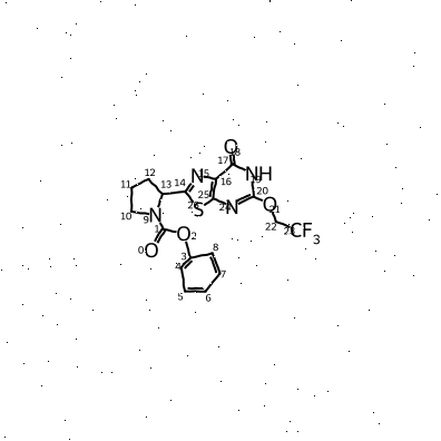 O=C(Oc1ccccc1)N1CCCC1c1nc2c(=O)[nH]c(OCC(F)(F)F)nc2s1